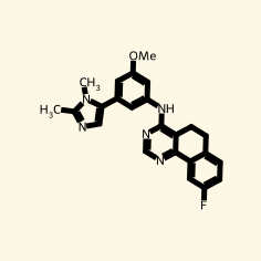 COc1cc(Nc2ncnc3c2CCc2ccc(F)cc2-3)cc(-c2cnc(C)n2C)c1